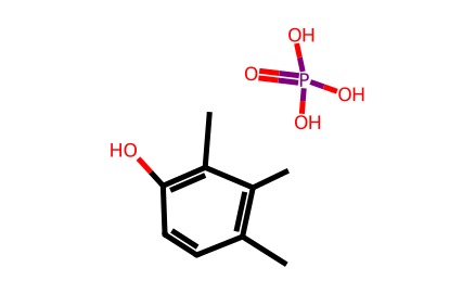 Cc1ccc(O)c(C)c1C.O=P(O)(O)O